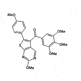 COc1ccc(-c2sc3nc(OC)ncc3c2C(=O)c2cc(OC)c(OC)c(OC)c2)cc1